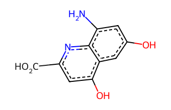 Nc1cc(O)cc2c(O)cc(C(=O)O)nc12